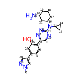 Cn1cc(-c2ccc(-c3cnc(N(C4CC4)[C@H]4CCC[C@@H](N)C4)nn3)c(O)c2)cn1